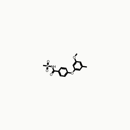 COc1cc(C)cc(Oc2ccc(C(=O)NS(C)(=O)=O)cc2)c1